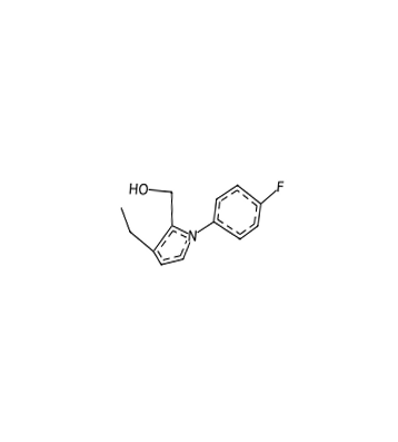 CCc1ccn(-c2ccc(F)cc2)c1CO